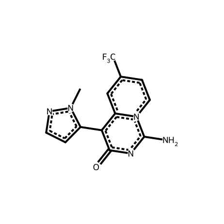 Cn1nccc1-c1c(=O)nc(N)n2ccc(C(F)(F)F)cc12